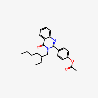 CCCCC(CC)Cn1c(-c2ccc(OC(C)=O)cc2)nc2ccccc2c1=O